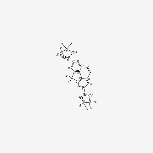 CC1(C)c2cc(B3OC(C)(C)C(C)(C)O3)cc3ccc4cc(B5OC(C)(C)C(C)(C)O5)cc1c4c23